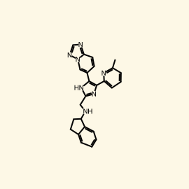 Cc1cccc(-c2nc(CNC3CCc4ccccc43)[nH]c2-c2ccc3ncnn3c2)n1